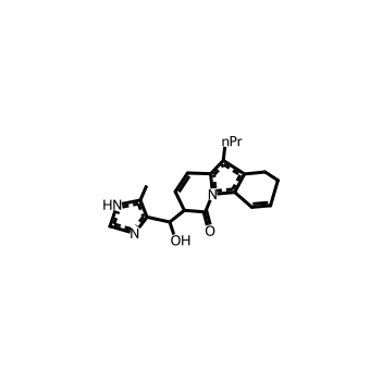 CCCc1c2c(n3c1C=CC(C(O)c1nc[nH]c1C)C3=O)C=CCC2